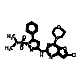 CN(C)S(=O)(=O)n1nc(Nc2nc(N3CCOCC3)c3oc(Cl)cc3n2)cc1-c1ccccc1